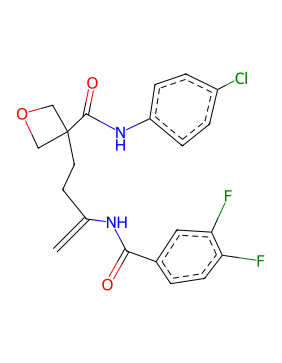 C=C(CCC1(C(=O)Nc2ccc(Cl)cc2)COC1)NC(=O)c1ccc(F)c(F)c1